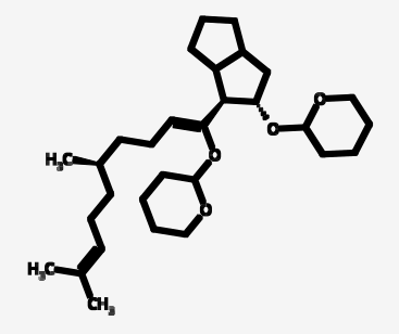 CC(C)=CCC[C@@H](C)CCC=C(OC1CCCCO1)[C@H]1C2CCCC2C[C@@H]1OC1CCCCO1